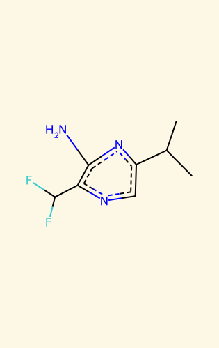 CC(C)c1cnc(C(F)F)c(N)n1